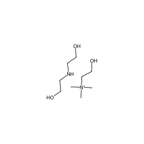 C[N+](C)(C)CCO.OCCNCCO